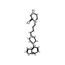 O=C1CNCCN1CCCCN1CCN(c2cccc3sccc23)CC1